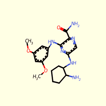 COc1cc(Nc2nc(NC3CCCCC3N)cnc2C(N)=O)cc(OC)c1